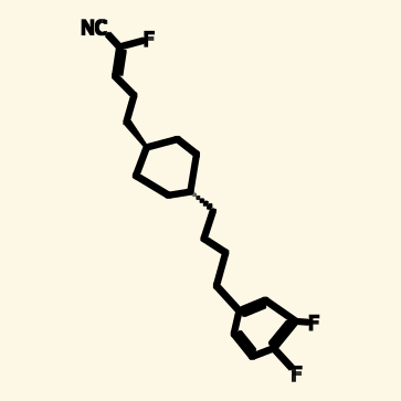 N#CC(F)=CCC[C@H]1CC[C@H](CCCCc2ccc(F)c(F)c2)CC1